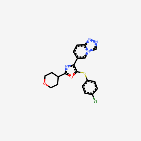 Clc1ccc(Sc2oc(C3CCOCC3)nc2-c2ccc3nncn3c2)cc1